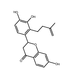 C=C(C)CCc1c(C2CC(=O)c3ccc(O)cc3O2)ccc(O)c1O